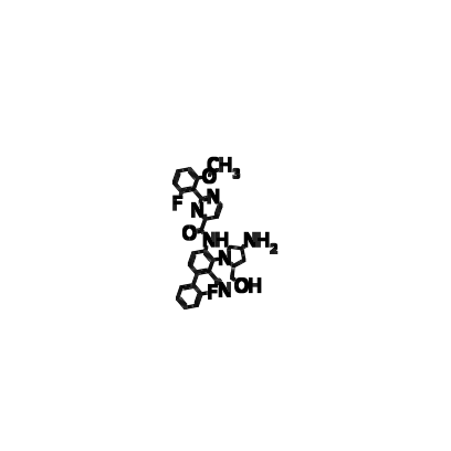 COc1cccc(F)c1-c1nccc(C(=O)Nc2ccc(-c3ccccc3F)c(C#N)c2N2C[C@@H](N)C[C@H]2CO)n1